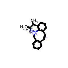 C=C(N)C(C)c1cccc2c1N(C)Cc1ccccc1/C=C\2